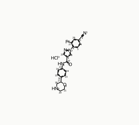 Cl.N#Cc1ccc(-n2cc(C(=O)Nc3ccc(C4CNCCO4)cc3)cn2)c(F)c1